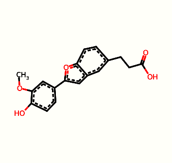 COc1cc(-c2cc3cc(CCC(=O)O)ccc3o2)ccc1O